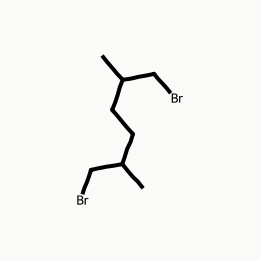 CC(CBr)CCC(C)CBr